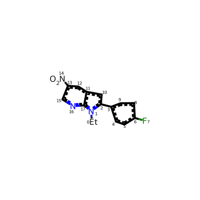 CCn1c(-c2ccc(F)cc2)cc2cc([N+](=O)[O-])cnc21